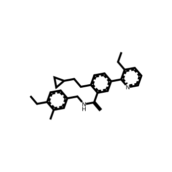 C=C(NCc1ccc(CC)c(C)c1)c1cc(-c2ncccc2CC)ccc1CCC1CC1